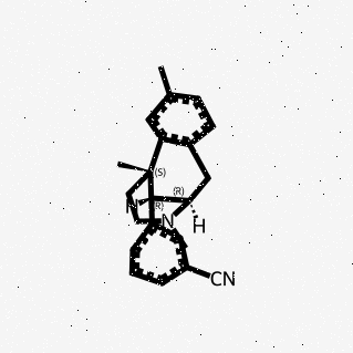 Cc1ccc2c(c1)[C@@]1(C)CCN(C)[C@H](C2)[C@@H]1c1cccc(C#N)c1